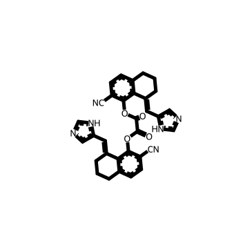 N#Cc1ccc2c(c1OC(=O)C(=O)Oc1c(C#N)ccc3c1C(=Cc1cnc[nH]1)CCC3)C(=Cc1cnc[nH]1)CCC2